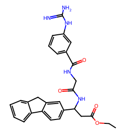 CCOC(=O)CC(NC(=O)CNC(=O)c1cccc(NC(=N)N)c1)c1ccc2c(c1)Cc1ccccc1-2